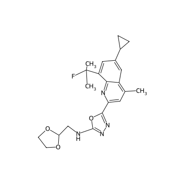 Cc1cc(-c2nnc(NCC3OCCO3)o2)nc2c(C(C)(C)F)cc(C3CC3)cc12